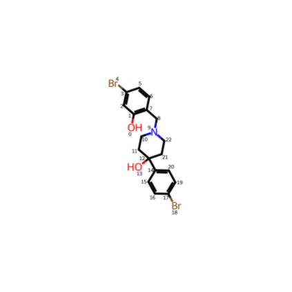 Oc1cc(Br)ccc1CN1CCC(O)(c2ccc(Br)cc2)CC1